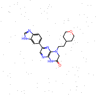 O=C1CN(CCC2CCOCC2)c2nc(-c3ccc4nc[nH]c4c3)cnc2N1